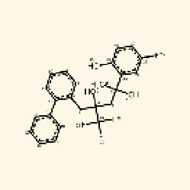 CC(C)(CC(O)(Cc1ccccc1-c1ccccc1)C(F)(F)F)c1cc(F)ccc1O